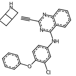 C#Cc1nc(Nc2ccc(Oc3ccccc3)c(Cl)c2)c2ccccc2n1.C1CC2NCC12